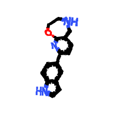 c1cc2cc(-c3ccc4c(n3)OCCNC4)ccc2[nH]1